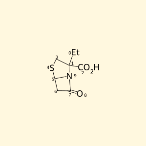 CCC1(C(=O)O)CSC2CC(=O)N21